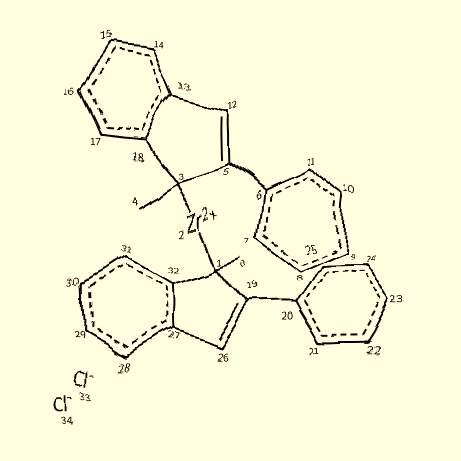 C[C]1([Zr+2][C]2(C)C(c3ccccc3)=Cc3ccccc32)C(c2ccccc2)=Cc2ccccc21.[Cl-].[Cl-]